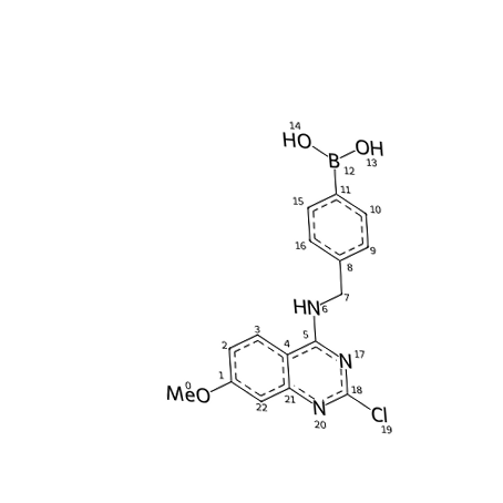 COc1ccc2c(NCc3ccc(B(O)O)cc3)nc(Cl)nc2c1